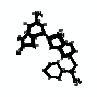 CCc1nc2c(-c3cc4cc(CN(C)C5CCCCC5)ccc4[nH]3)cc(N)nc2[nH]1